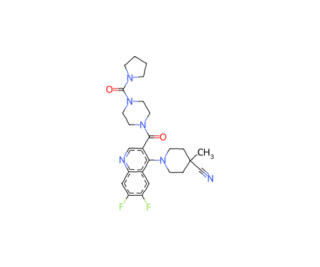 CC1(C#N)CCN(c2c(C(=O)N3CCN(C(=O)N4CCCC4)CC3)cnc3cc(F)c(F)cc23)CC1